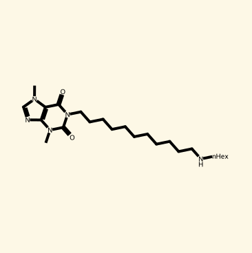 CCCCCCNCCCCCCCCCCCn1c(=O)c2c(ncn2C)n(C)c1=O